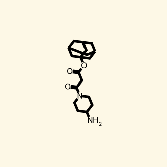 NC1CCN(C(=O)CC(=O)OC23CC4CC(CC(C4)C2)C3)CC1